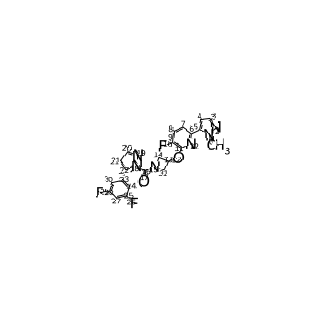 Cn1nccc1-c1ccc(F)c(OC2CN(C(=O)N3N=CC[C@H]3c3cc(F)cc(F)c3)C2)n1